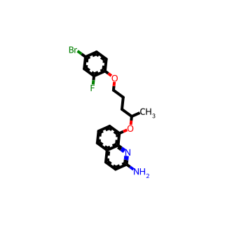 CC(CCCOc1ccc(Br)cc1F)Oc1cccc2ccc(N)nc12